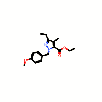 CCOC(=O)c1c(C)c(CC)nn1Cc1ccc(OC)cc1